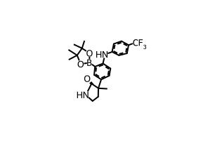 CC1(c2ccc(Nc3ccc(C(F)(F)F)cc3)c(B3OC(C)(C)C(C)(C)O3)c2)CCNC1=O